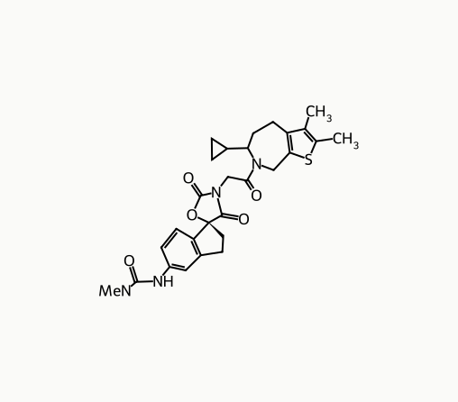 CNC(=O)Nc1ccc2c(c1)CC[C@]21OC(=O)N(CC(=O)N2Cc3sc(C)c(C)c3CCC2C2CC2)C1=O